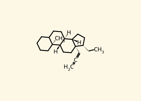 C=C=C[C@]12CC[C@H]3[C@@H](CCC4CCCC[C@@]43C)[C@@H]1CC[C@@H]2CC